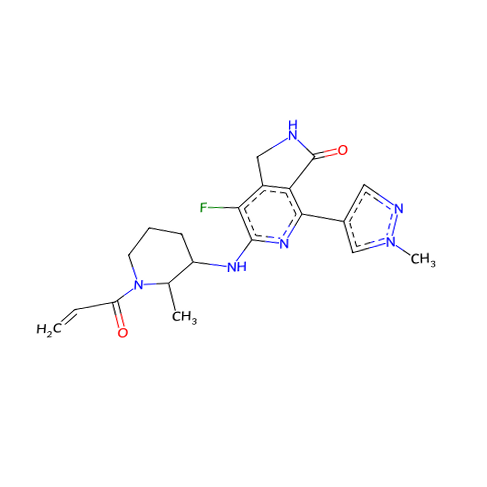 C=CC(=O)N1CCCC(Nc2nc(-c3cnn(C)c3)c3c(c2F)CNC3=O)C1C